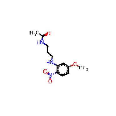 COc1ccc([N+](=O)[O-])c(NCCCNC(C)=O)c1